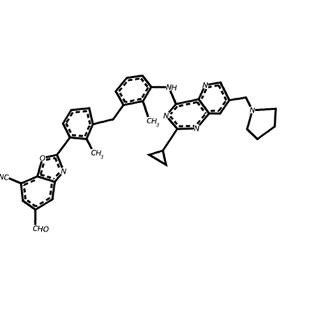 Cc1c(Cc2cccc(-c3nc4cc(C=O)cc(C#N)c4o3)c2C)cccc1Nc1nc(C2CC2)nc2cc(CN3CCCC3)cnc12